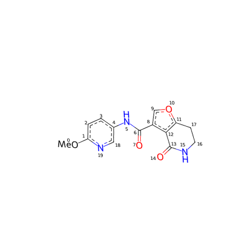 COc1ccc(NC(=O)c2coc3c2C(=O)NCC3)cn1